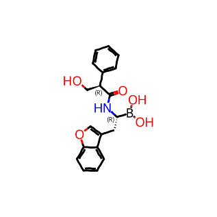 O=C(N[C@@H](Cc1coc2ccccc12)B(O)O)[C@@H](CO)c1ccccc1